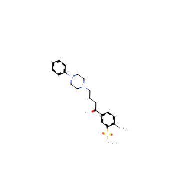 CNS(=O)(=O)c1cc(C(=O)CCCN2CCN(c3ccccc3)CC2)ccc1SC